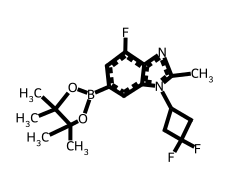 Cc1nc2c(F)cc(B3OC(C)(C)C(C)(C)O3)cc2n1C1CC(F)(F)C1